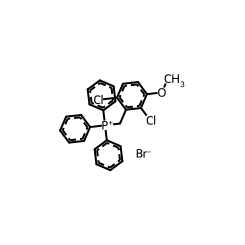 COc1ccc(Cl)c(C[P+](c2ccccc2)(c2ccccc2)c2ccccc2)c1Cl.[Br-]